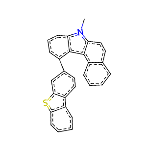 Cn1c2cccc(-c3ccc4c(c3)sc3ccccc34)c2c2c3ccccc3ccc21